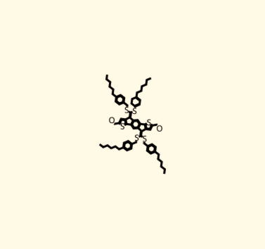 CCCCCCC1=CC=C(S/C(SCc2ccc(CCCCCC)cc2)=C2\c3cc4c(cc3-c3sc(C=O)cc32)C(=C(SCc2ccc(CCCCCC)cc2)SCc2ccc(CCCCCC)cc2)c2cc(C=O)sc2-4)CC1